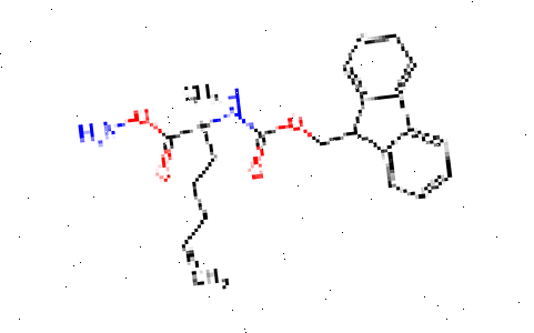 C=CCCC[C@](C)(NC(=O)OCC1c2ccccc2-c2ccccc21)C(=O)ON